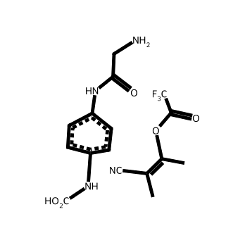 CC(C#N)=C(C)OC(=O)C(F)(F)F.NCC(=O)Nc1ccc(NC(=O)O)cc1